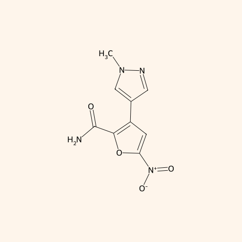 Cn1cc(-c2cc([N+](=O)[O-])oc2C(N)=O)cn1